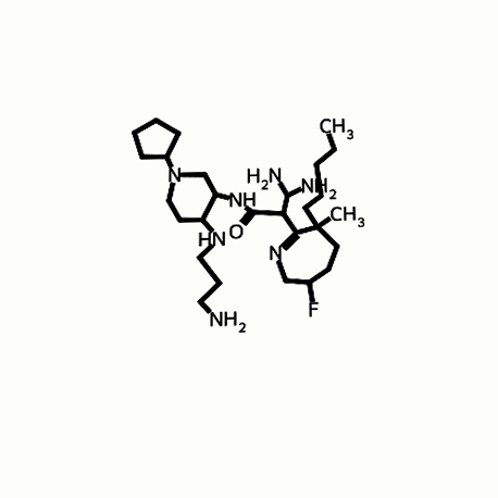 CCCCCC1(C)CCC(F)CN=C1C(C(=O)NC1CN(C2CCCC2)CCC1NCCCN)C(N)N